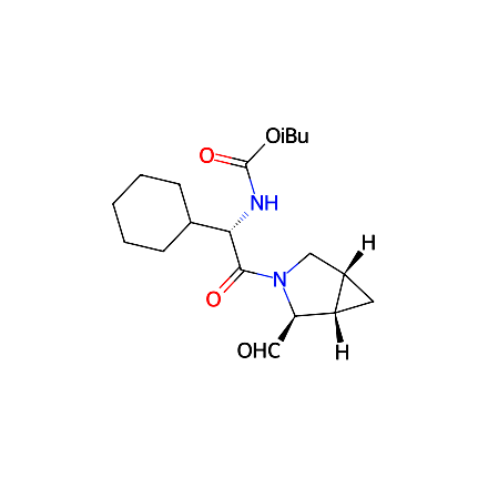 CC(C)COC(=O)N[C@H](C(=O)N1C[C@@H]2C[C@@H]2[C@H]1C=O)C1CCCCC1